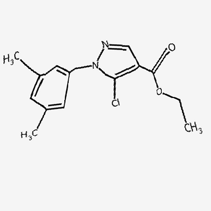 CCOC(=O)c1cnn(-c2cc(C)cc(C)c2)c1Cl